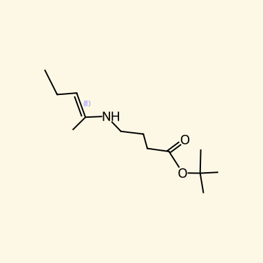 CC/C=C(\C)NCCCC(=O)OC(C)(C)C